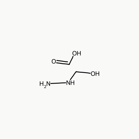 NNCO.O=CO